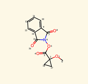 COC1(C(=O)ON2C(=O)c3ccccc3C2=O)CC1